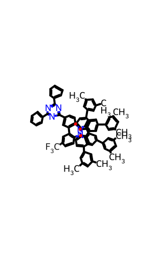 Cc1cc(C)cc(-c2ccc3c(c2)c2cc(-c4cc(C)cc(C)c4)ccc2n3-c2ccc(-c3nc(-c4ccccc4)nc(-c4ccccc4)n3)cc2-c2cc(C(F)(F)F)ccc2-n2c3ccc(-c4cc(C)cc(C)c4)cc3c3cc(-c4cc(C)cc(C)c4)ccc32)c1